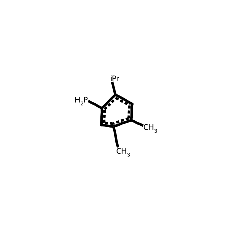 Cc1cc(P)c(C(C)C)cc1C